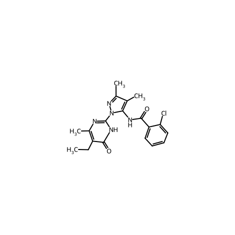 CCc1c(C)nc(-n2nc(C)c(C)c2NC(=O)c2ccccc2Cl)[nH]c1=O